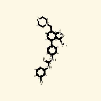 Nc1noc2c(CN3CCOCC3)ccc(-c3ccc(NC(=O)Nc4cccc(Cl)c4)cc3)c12